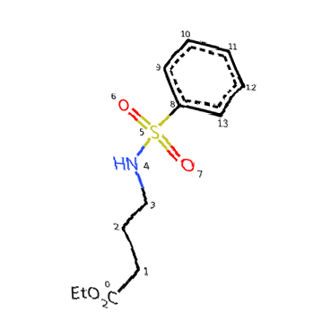 CCOC(=O)CCCNS(=O)(=O)c1ccccc1